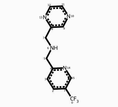 FC(F)(F)c1ccc(CNCc2cnccn2)nc1